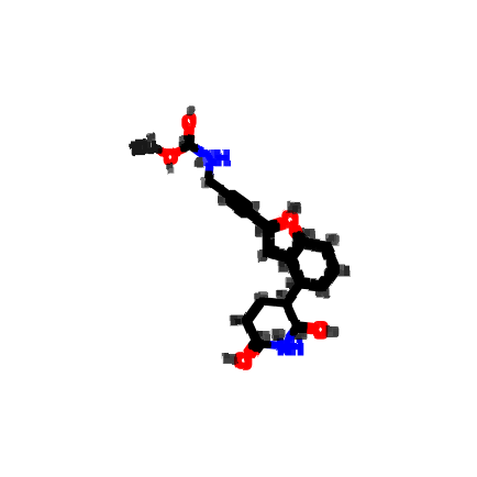 CC(C)(C)OC(=O)NCC#Cc1cc2c(C3CCC(=O)NC3=O)cccc2o1